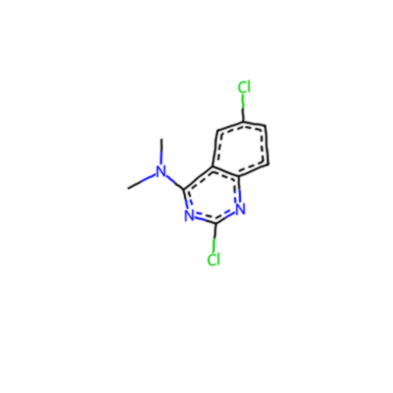 CN(C)c1nc(Cl)nc2ccc(Cl)cc12